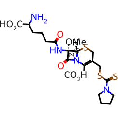 CO[C@@]1(NC(=O)CCCC(N)C(=O)O)C(=O)N2C(C(=O)O)=C(CSC(=S)N3CCCC3)CS[C@H]21